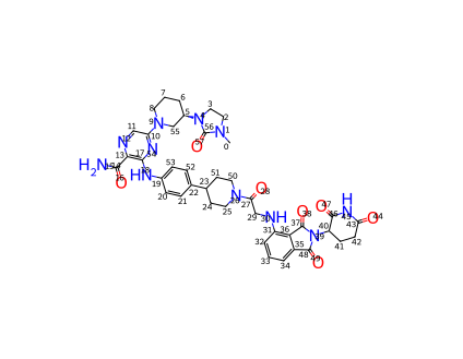 CN1CCN([C@@H]2CCCN(c3cnc(C(N)=O)c(Nc4ccc(C5CCN(C(=O)CNc6cccc7c6C(=O)N(C6CCC(=O)NC6=O)C7=O)CC5)cc4)n3)C2)C1=O